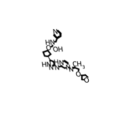 C/C(COC1CCOC1)=N\N1C=CN=C(NC2=NNC([C@H]3CC[C@@H](OC(O)NCc4cccnc4)C3)C2)C1